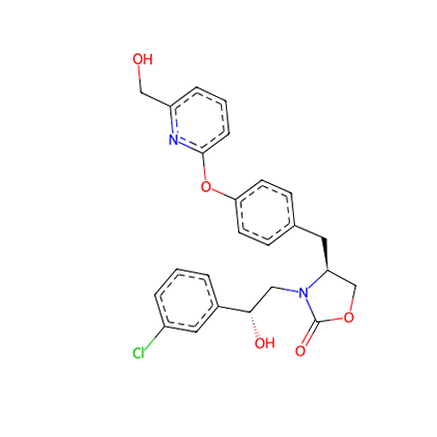 O=C1OC[C@H](Cc2ccc(Oc3cccc(CO)n3)cc2)N1C[C@H](O)c1cccc(Cl)c1